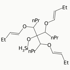 CCC=COC(CCC)C(O[SiH3])(C(CCC)OC=CCC)C(CCC)OC=CCC